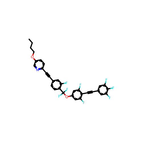 CCCCOc1ccc(C#Cc2ccc(C(F)(F)Oc3cc(F)c(C#Cc4cc(F)c(F)c(F)c4)c(F)c3)c(F)c2)nc1